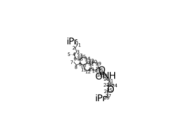 CC(C)CCC[C@@H](C)[C@H]1CCC2C3CC=C4C[C@@H](OC(=O)NCCC(C)(C)OCCC(C)C)CC[C@]4(C)C3CC[C@@]21C